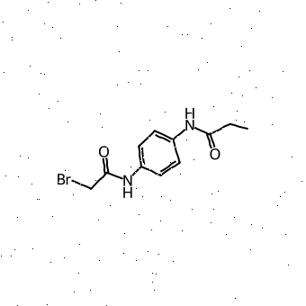 CCC(=O)Nc1ccc(NC(=O)CBr)cc1